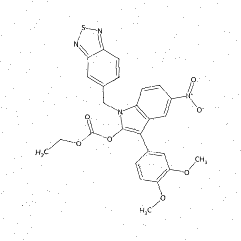 CCOC(=O)Oc1c(-c2ccc(OC)c(OC)c2)c2cc([N+](=O)[O-])ccc2n1Cc1ccc2nsnc2c1